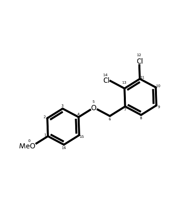 COc1ccc(OCc2cccc(Cl)c2Cl)cc1